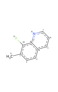 Cc1ccc2c[c]cnc2c1F